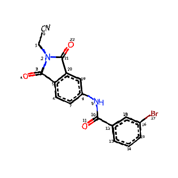 N#CCN1C(=O)c2ccc(NC(=O)c3cccc(Br)c3)cc2C1=O